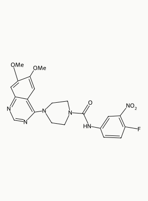 COc1cc2ncnc(N3CCN(C(=O)Nc4ccc(F)c([N+](=O)[O-])c4)CC3)c2cc1OC